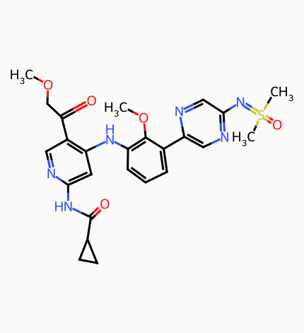 COCC(=O)c1cnc(NC(=O)C2CC2)cc1Nc1cccc(-c2cnc(N=S(C)(C)=O)cn2)c1OC